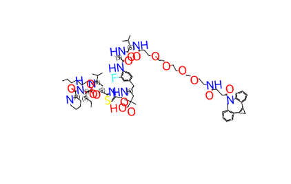 CCCCCCN(C(=O)[C@@H](NC(=O)[C@H]1CCCCN1C)[C@@H](C)CC)[C@H](C[C@@H](OC(C)=O)c1nc(C(=O)N[C@@H](Cc2ccc(NC(=O)[C@H](C)NC(=O)[C@@H](NC(=O)CCOCCOCCOCCOCCNC(=O)CCC(=O)N3Cc4ccccc4C4=C(C4)c4ccccc43)C(C)C)c(F)c2)CC(C)(C)C(=O)O)cs1)C(C)C